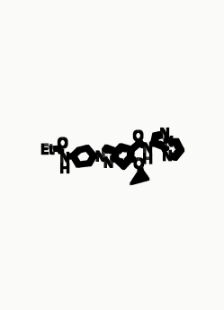 CCC(=O)NC1CCC(n2cc3cc(C(=O)Nc4cnn5cccnc45)c(OC4CC4)cc3n2)CC1